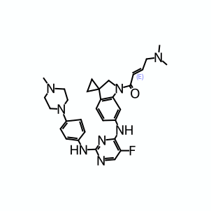 CN(C)C/C=C/C(=O)N1CC2(CC2)c2ccc(Nc3nc(Nc4ccc(N5CCN(C)CC5)cc4)ncc3F)cc21